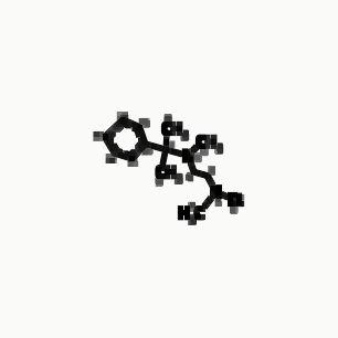 CCN(C)CCN(C)C(C)(C)c1ccccc1